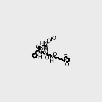 O=CCOCNC(=O)CNC(=O)C(Cc1ccccc1)NC(=O)CNC(=O)CNC(=O)CCCCCN1C(=O)C=CC1=O